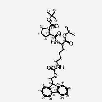 CC(C)OC(=O)C(CCCCNC(=O)OCC1c2ccccc2-c2ccccc21)NC(=O)C1CCCN1C(=O)OC(C)(C)C